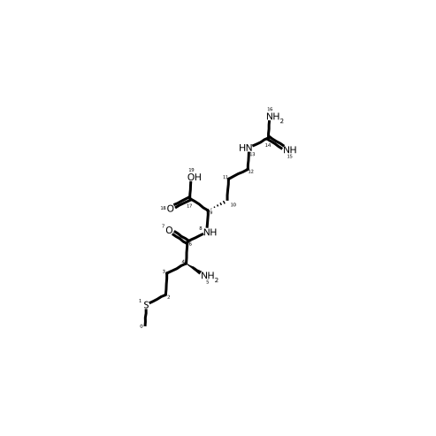 CSCC[C@H](N)C(=O)N[C@@H](CCCNC(=N)N)C(=O)O